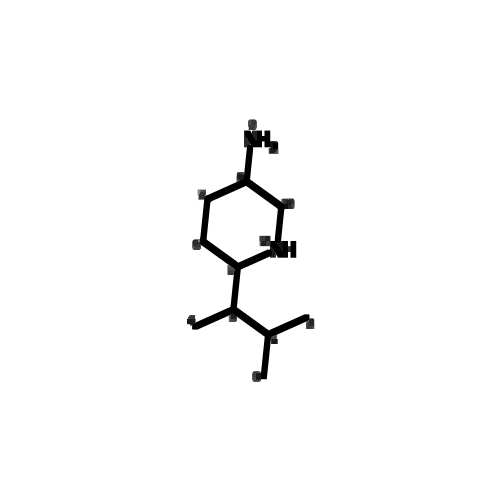 CC(C)C(C)C1CCC(N)CN1